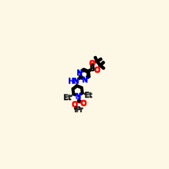 CC[C@@H]1C[C@H](Nc2ncc(B3OC(C)(C)C(C)(C)O3)cn2)C[C@H](CC)N1C(=O)OC(C)C